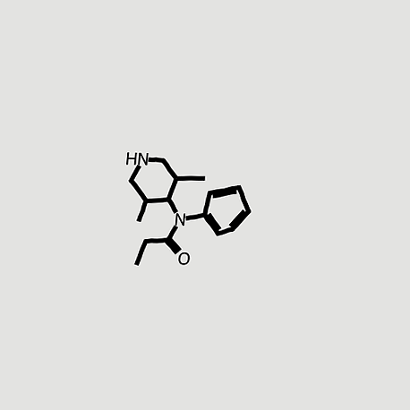 CCC(=O)N(c1ccccc1)C1C(C)CNCC1C